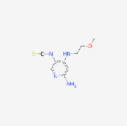 COCCNc1cc(N)ncc1N=C=S